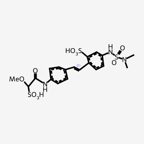 COC(C(=O)Nc1ccc(/C=C/c2ccc(NS(=O)(=O)N(C)C)cc2S(=O)(=O)O)cc1)S(=O)(=O)O